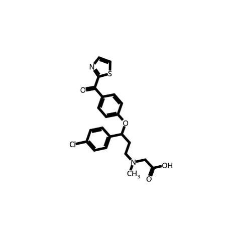 CN(CCC(Oc1ccc(C(=O)c2nccs2)cc1)c1ccc(Cl)cc1)CC(=O)O